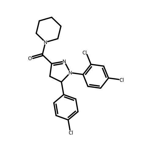 O=C(C1=NN(c2ccc(Cl)cc2Cl)C(c2ccc(Cl)cc2)C1)N1CCCCC1